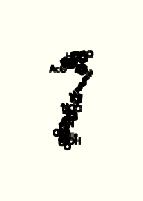 CC[C@@]1(O)C(=O)OCc2c1cc1n(c2=O)Cc2cc3c(CN(C)C)c(OC(=O)N4CCN(CCCCCCN(C)c5ccc([C@H]6C[C@]7(C)[C@H](OC(C)=O)CC[C@H]7[C@@H]7CCC8=CC(=O)CCC8=C76)cc5)[C@H](C)C4)ccc3nc2-1